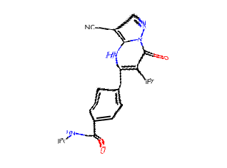 CC(C)NC(=O)c1ccc(-c2[nH]c3c(C#N)cnn3c(=O)c2C(C)C)cc1